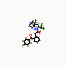 O=C(Cc1ccccc1C(=O)c1ccc(F)cc1)NC(C[C@H]1CN2CCC1CC2)C(F)(F)F